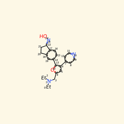 CCN(CC)Cc1cc(-c2ccncc2)c(-c2ccc3c(c2)CC/C3=N\O)o1